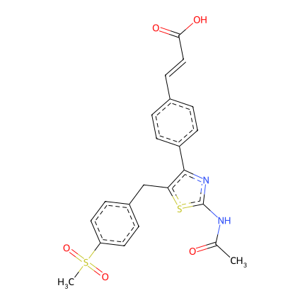 CC(=O)Nc1nc(-c2ccc(/C=C/C(=O)O)cc2)c(Cc2ccc(S(C)(=O)=O)cc2)s1